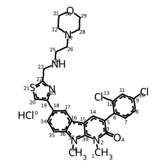 Cl.Cn1c(=O)c(-c2ccc(Cl)cc2Cl)cc2c3cc(-c4csc(CNCCN5CCOCC5)n4)ccc3n(C)c21